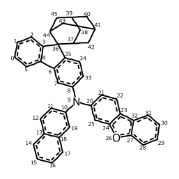 c1ccc2c(c1)-c1cc(N(c3ccc4ccccc4c3)c3ccc4c(c3)oc3ccccc34)ccc1C21C2CC3CC(C2)CC1C3